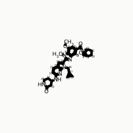 COc1cc(C(=O)N2CC3CCC2C3C)cc2nc(-c3cc4ccc(NC5CCNC(=O)C5)nc4n3CC3CC3)n(C)c12